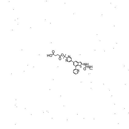 CCNC(=O)Nc1cc2cc(-c3cnc(C(C)(C)OC(=O)CCC(=O)O)nc3)cc(-c3ccccn3)c2s1